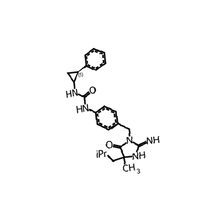 CC(C)CC1(C)NC(=N)N(Cc2ccc(NC(=O)NC3C[C@H]3c3ccccc3)cc2)C1=O